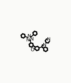 c1ccc(-c2nc(-c3ccccc3)nc(-c3ccc4oc5ccc(-c6cn(-c7ccncc7)c7ccccc67)cc5c4c3)n2)cc1